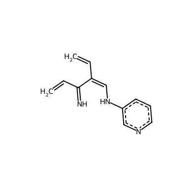 C=CC(=N)/C(C=C)=C\Nc1cccnc1